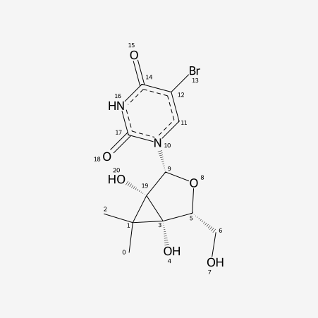 CC1(C)[C@]2(O)[C@@H](CO)O[C@@H](n3cc(Br)c(=O)[nH]c3=O)[C@]12O